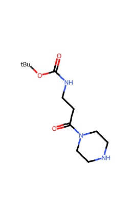 CC(C)(C)OC(=O)NCCC(=O)N1CCNCC1